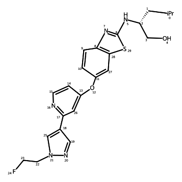 CC(C)C[C@H](CO)Nc1nc2ccc(Oc3ccnc(-c4cnn(CCF)c4)c3)cc2s1